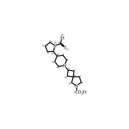 CCOC(=O)N1CCC2(CC(N3CCC(C4CCCN4C(=S)CC)CC3)C2)C1